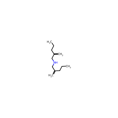 C=C(CCC)CNCC(=C)CCC